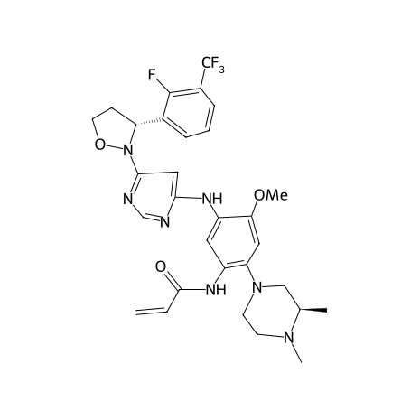 C=CC(=O)Nc1cc(Nc2cc(N3OCC[C@@H]3c3cccc(C(F)(F)F)c3F)ncn2)c(OC)cc1N1CCN(C)[C@H](C)C1